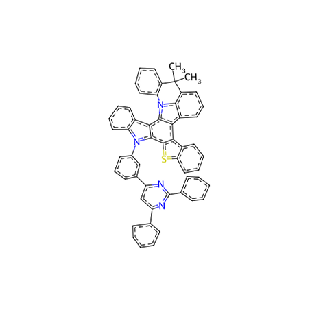 CC1(C)c2ccccc2-n2c3c1cccc3c1c3c4ccccc4sc3c3c(c4ccccc4n3-c3cccc(-c4cc(-c5ccccc5)nc(-c5ccccc5)n4)c3)c12